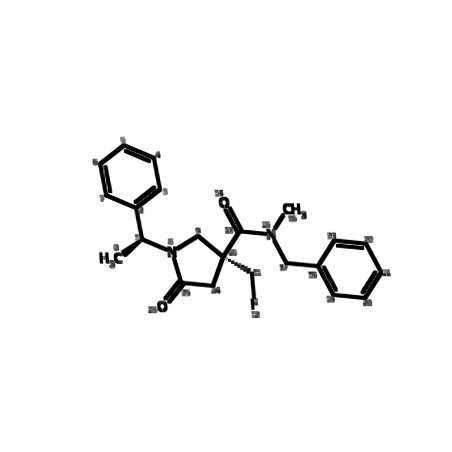 C[C@@H](c1ccccc1)N1C[C@@](CF)(C(=O)N(C)Cc2ccccc2)CC1=O